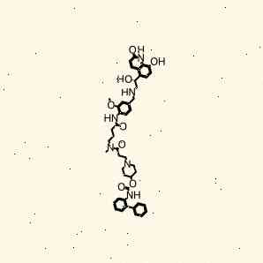 COc1cc(CNC[C@H](O)c2ccc(O)c3[nH]c(=O)ccc23)ccc1NC(=O)CCCN(C)C(=O)CCN1CCC(OC(=O)Nc2ccccc2-c2ccccc2)CC1